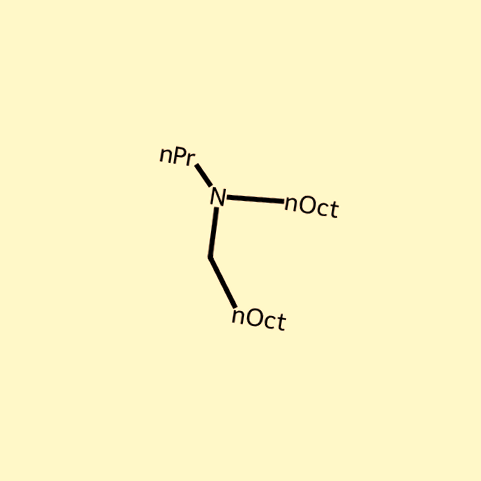 CCCCCCCCCN(CCC)CCCCCCCC